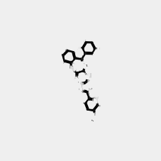 COc1ccc(-c2nnc(NC3N=C(c4ccccc4)c4ccccc4NC3=O)o2)nc1